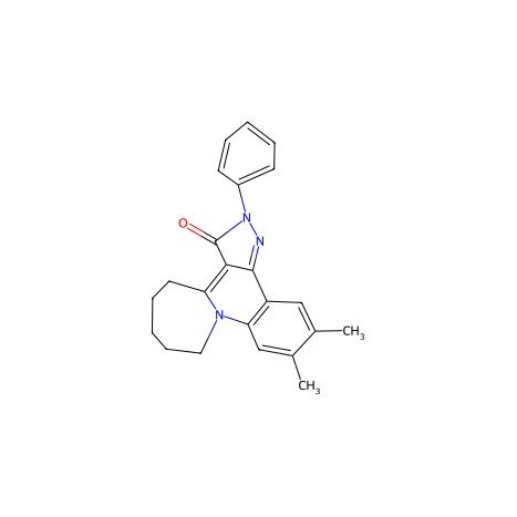 Cc1cc2c3nn(-c4ccccc4)c(=O)c-3c3n(c2cc1C)CCCCC3